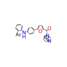 CC(=O)c1ccccc1Nc1ccc(-c2ccc(C(=O)N3CCN4CCC3CC4)o2)cc1